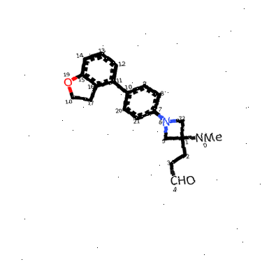 CNC1(CCC=O)CN(c2ccc(-c3cccc4c3CCO4)cc2)C1